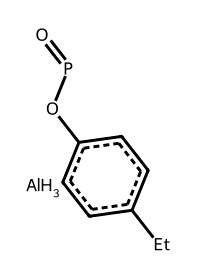 CCc1ccc(OP=O)cc1.[AlH3]